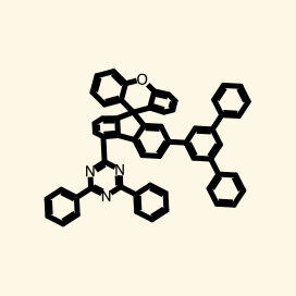 c1ccc(-c2cc(-c3ccccc3)cc(-c3ccc4c(c3)C3(c5ccccc5Oc5ccccc53)c3cccc(-c5nc(-c6ccccc6)nc(-c6ccccc6)n5)c3-4)c2)cc1